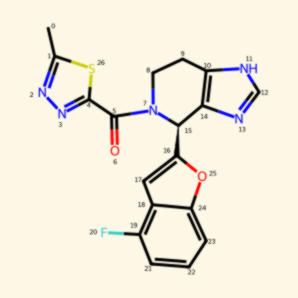 Cc1nnc(C(=O)N2CCc3[nH]cnc3[C@H]2c2cc3c(F)cccc3o2)s1